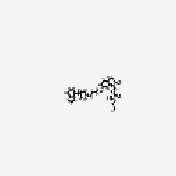 CCCCNC(=O)OCN1C(=O)CCc2ccc(OCCCCN3CCN(c4cccc5sccc45)CC3)cc21